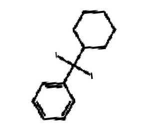 IC(I)(c1ccccc1)C1CCCCC1